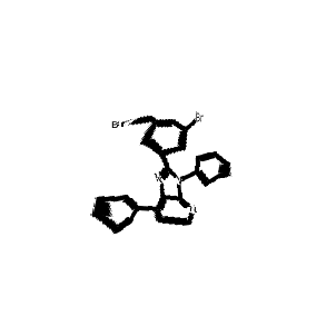 Brc1cc(Br)cc(-c2nc3c(-c4ccccc4)ccnc3n2-c2ccccc2)c1